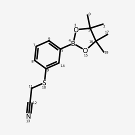 CC1(C)OB(c2cccc(SCC#N)c2)OC1(C)C